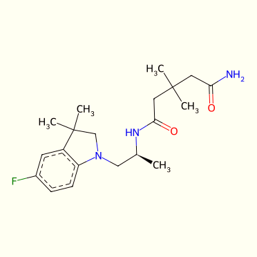 C[C@@H](CN1CC(C)(C)c2cc(F)ccc21)NC(=O)CC(C)(C)CC(N)=O